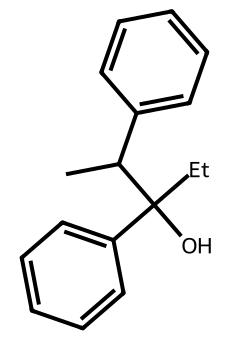 CCC(O)(c1ccccc1)C(C)c1ccccc1